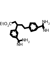 CCOC(=O)CC(CCc1ccc(C(=N)N)cc1)c1cccc(C(=N)N)c1